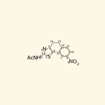 CC(=O)Nc1nc2c(s1)-c1cc([N+](=O)[O-])ccc1CC2